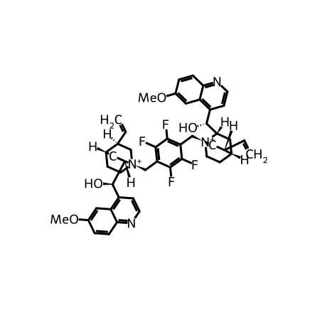 C=C[C@H]1C[N@+]2(Cc3c(F)c(F)c(C[N@@+]45CC[C@@H](C[C@H]4[C@H](O)c4ccnc6ccc(OC)cc46)[C@@H](C=C)C5)c(F)c3F)CC[C@H]1C[C@H]2[C@H](O)c1ccnc2ccc(OC)cc12